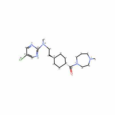 CN1CCCN(C(=O)[C@H]2CC[C@H](CCN(C)c3ncc(Cl)cn3)CC2)CC1